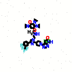 CNCCn1cc(-c2ccc(F)c(C(F)(F)F)c2)nc1C1CCN(c2ncnc3c2CC(=O)N3)CC1.Cl.O=C1C=C(N2CC2)C(=O)C(N2CC2)=C1N1CC1